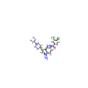 CCC(CC)N1CC=C(c2c[nH]c3ccc(NC(=O)c4ccc(Br)c(Cl)c4)cc23)CC1